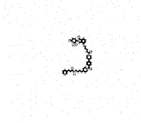 O=C(/C=C/c1cccnc1)NCCCCC1CCN(C(=O)c2ccc(C3CCN(C(=O)CCCCSc4cccc5c4CN(C4CCC(=O)NC4=O)C5=O)CC3)cc2)CC1